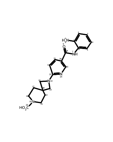 Nc1ccccc1NC(=O)c1ccc(N2CC3(CCN(C(=O)O)CC3)C2)nc1